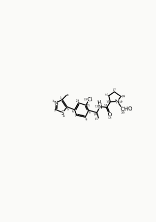 Cc1ncsc1-c1ccc(C(C)NC(=O)C2CCCN2C=O)c(Cl)c1